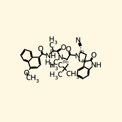 COc1ccc(C(=O)N[C@@H](C)C(=O)N(C)[C@@H](CC(C)(C)C)C(=O)N2C[C@]3(C[C@H]2C#N)C(=O)Nc2ccccc23)c2ccccc12